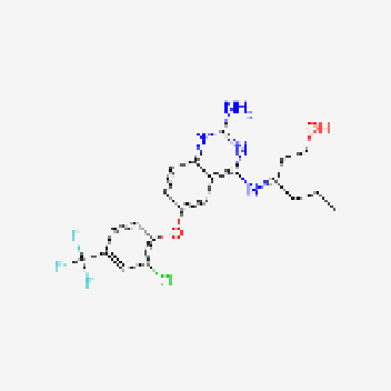 CCC/C(CCO)=N/c1nc(N)nc2ccc(Oc3ccc(C(F)(F)F)cc3Cl)cc12